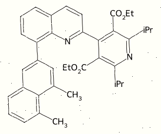 CCOC(=O)c1c(C(C)C)nc(C(C)C)c(C(=O)OCC)c1-c1ccc2cccc(-c3cc(C)c4c(C)cccc4c3)c2n1